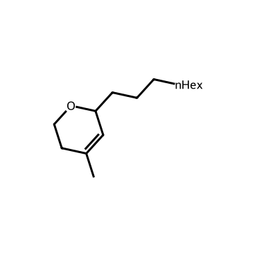 CCCCCCCCCC1C=C(C)CCO1